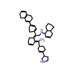 C/C(=C1/C=CCC/C1=C(/CNC1C=CCC2CCCCC21)C1=CC=C(C2=CC3=C(C=CCC3)CC2)CC1)C1CC=C(C2CCNC2)CC1